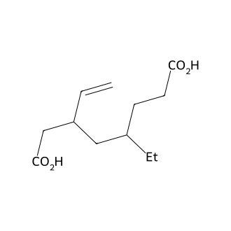 C=CC(CC(=O)O)CC(CC)CCC(=O)O